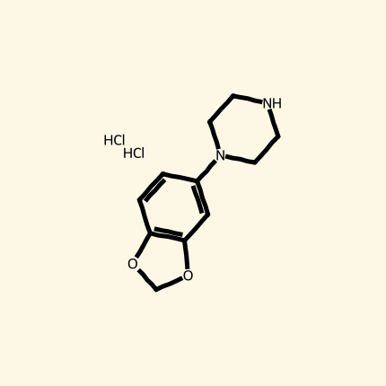 Cl.Cl.c1cc2c(cc1N1CCNCC1)OCO2